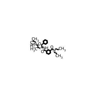 CCCN(CCC)C(=O)c1cccc(C(=O)N[C@H]([CH]C(C)C(=O)NCC(C)C)Cc2ccccc2)c1